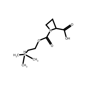 C[PH](C)(C)CCOC(=O)N1CCC1C(=O)O